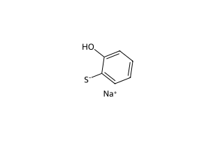 Oc1ccccc1[S-].[Na+]